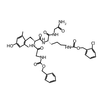 Cc1cc(O)cc(C)c1C[C@H](NC(=O)CNC(=O)OCc1ccccc1)C(=O)N[C@@H](CCCCNC(=O)OCc1ccccc1Cl)C(=O)NCC(N)=O